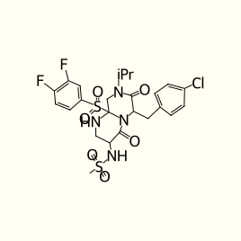 CC(C)N1CC2(S(=O)(=O)c3ccc(F)c(F)c3)NCC(NS(C)(=O)=O)C(=O)N2C(Cc2ccc(Cl)cc2)C1=O